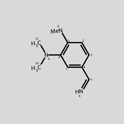 CNc1ccc(C=N)cc1N(C)C